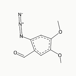 COc1cc(C=O)c(N=[N+]=[N-])cc1OC